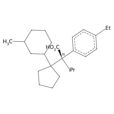 CCc1ccc([C@](C(=O)O)(C(C)C)C2(C3CCCC(C)C3)CCCC2)cc1